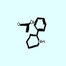 CC(=O)O.c1ccc(C2CCCCN2)cc1